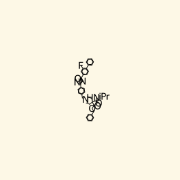 CC(C)NC(=O)C1(C(=O)OCc2ccccc2)CCN(Cc2ccc(-c3noc(-c4ccc(-c5ccccc5)c(F)c4)n3)cc2)CC1